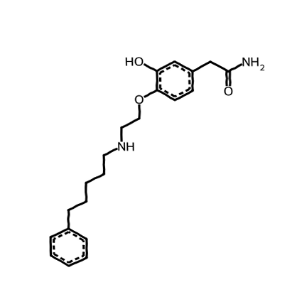 NC(=O)Cc1ccc(OCCNCCCCCc2ccccc2)c(O)c1